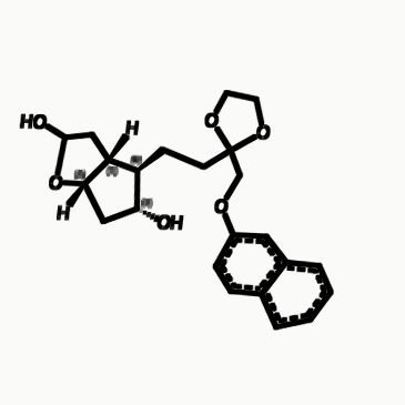 OC1C[C@@H]2[C@@H](CCC3(COc4ccc5ccccc5c4)OCCO3)[C@H](O)C[C@@H]2O1